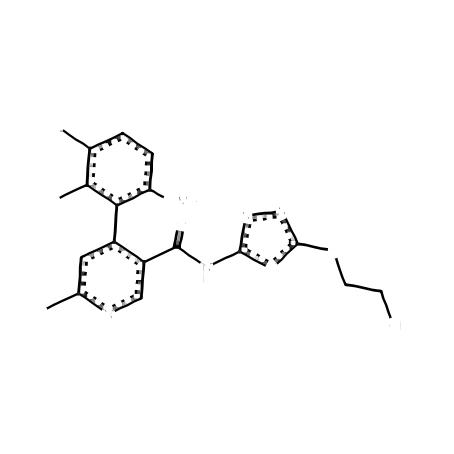 COc1ccc(Cl)c(F)c1-c1cc(C)ncc1C(=O)Nc1nnc(SCCO)s1